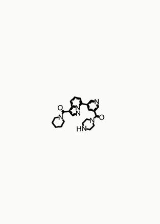 O=C(c1cncc(-c2cccc3c(C(=O)N4CCCCC4)cnn23)c1)N1CCNCC1